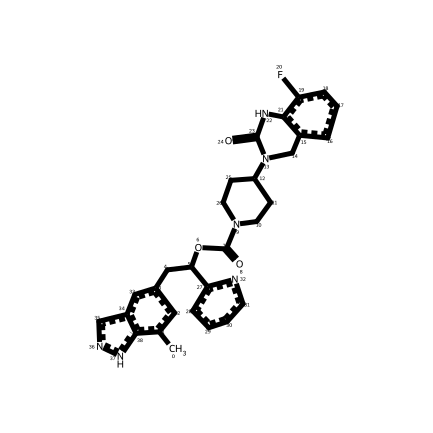 Cc1cc(CC(OC(=O)N2CCC(N3Cc4cccc(F)c4NC3=O)CC2)c2ccccn2)cc2cn[nH]c12